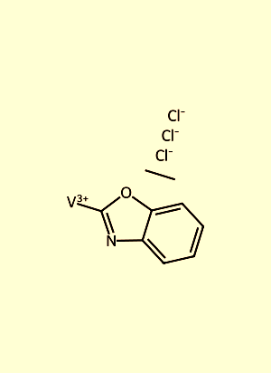 CC.[Cl-].[Cl-].[Cl-].[V+3][c]1nc2ccccc2o1